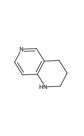 [CH]1CNc2ccncc2C1